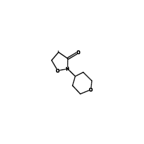 O=C1[CH]CON1C1CCOCC1